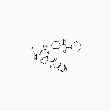 O=C(Nc1ccncc1F)c1cnc2c(NC3CC3)cc(NC3CCC(NC(=O)N4CCCCCC4)CC3)nn12